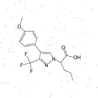 CCCC(C(=O)O)n1cc(-c2ccc(OC)cc2)c(C(F)(F)F)n1